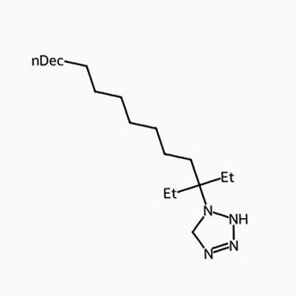 CCCCCCCCCCCCCCCCCC(CC)(CC)N1CN=NN1